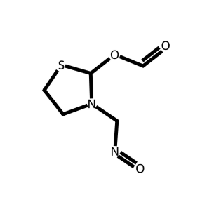 O=COC1SCCN1CN=O